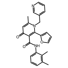 Cc1cccc(NC(=O)c2c(-c3ccco3)n(Cc3cccnc3)c(C)cc2=O)c1C